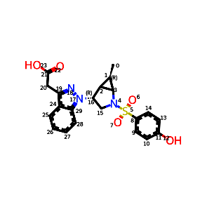 C[C@@H]1C2C1N(S(=O)(=O)c1ccc(O)cc1)C[C@@H]2n1nc(CC(=O)O)c2ccccc21